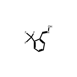 ON=Cc1ccccc1C(F)(F)F